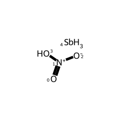 O=[N+]([O-])O.[SbH3]